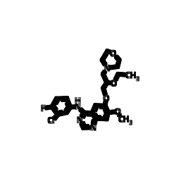 CCOC(COc1cc2c(Nc3ccc(F)c(Cl)c3)ncnc2cc1OC)CN1CCOCC1